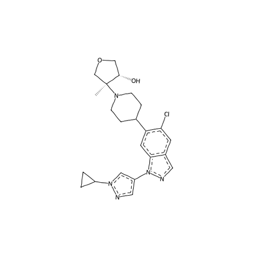 C[C@]1(N2CCC(c3cc4c(cnn4-c4cnn(C5CC5)c4)cc3Cl)CC2)COC[C@@H]1O